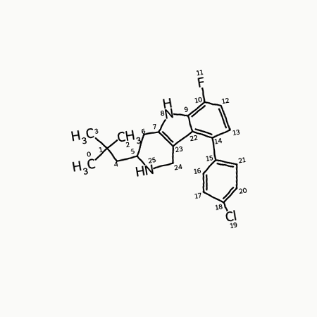 CC(C)(C)CC1Cc2[nH]c3c(F)ccc(-c4ccc(Cl)cc4)c3c2CN1